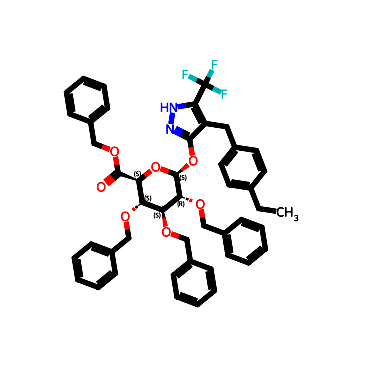 CCc1ccc(Cc2c(O[C@@H]3O[C@H](C(=O)OCc4ccccc4)[C@@H](OCc4ccccc4)[C@H](OCc4ccccc4)[C@H]3OCc3ccccc3)n[nH]c2C(F)(F)F)cc1